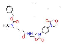 CN(CCCCC(=O)NC[C@H]1CN(c2ccc(N3CCOCC3=O)cc2)C(=O)O1)C(=O)OCc1ccccc1